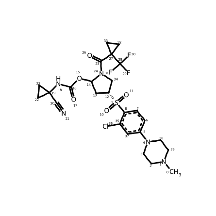 CN1CCN(c2ccc(S(=O)(=O)[C@@H]3CC(OC(=O)NC4(C#N)CC4)N(C(=O)C4(C(F)(F)F)CC4)C3)c(Cl)c2)CC1